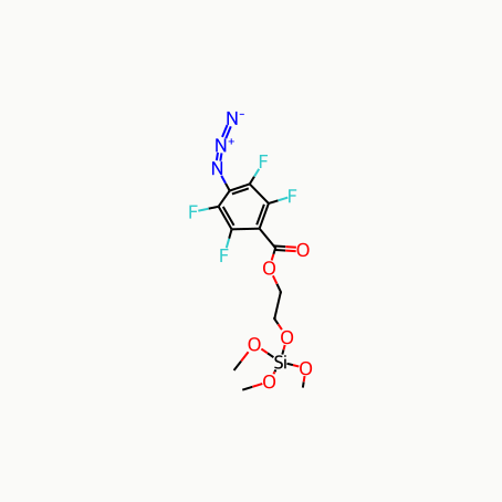 CO[Si](OC)(OC)OCCOC(=O)c1c(F)c(F)c(N=[N+]=[N-])c(F)c1F